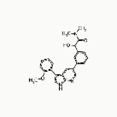 COc1ccccc1-c1c[nH]c2ncc(-c3cccc(C(O)C(=O)N(C)C)c3)cc12